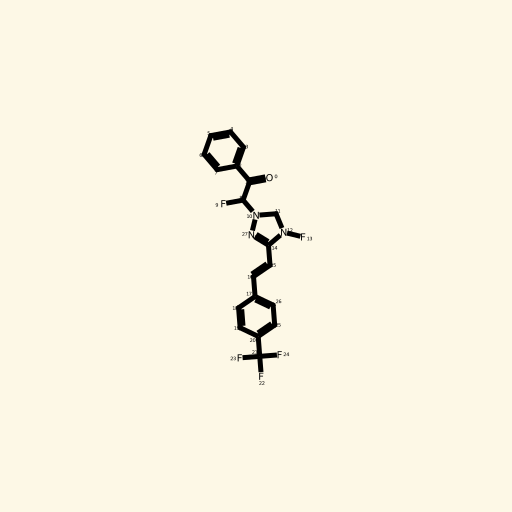 O=C(c1ccccc1)C(F)N1CN(F)C(C=Cc2ccc(C(F)(F)F)cc2)=N1